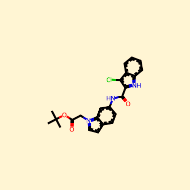 CC(C)(C)OC(=O)Cn1ccc2ccc(NC(=O)c3[nH]c4ccccc4c3Cl)cc21